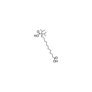 CC(C)C(CCCCCCCCCCCC(=O)O)(C(=O)O)C(C)C